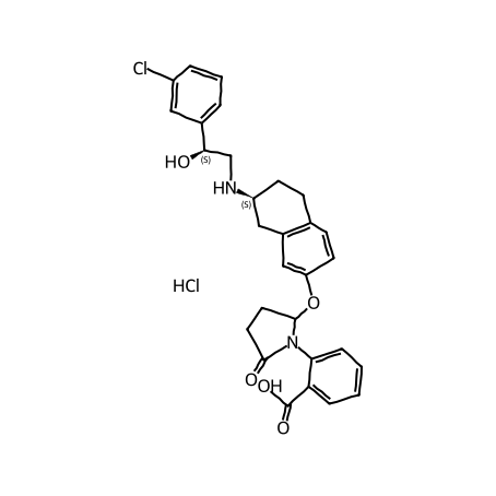 Cl.O=C(O)c1ccccc1N1C(=O)CCC1Oc1ccc2c(c1)C[C@@H](NC[C@@H](O)c1cccc(Cl)c1)CC2